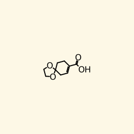 O=C(O)C1=CCC2(CC1)OCCO2